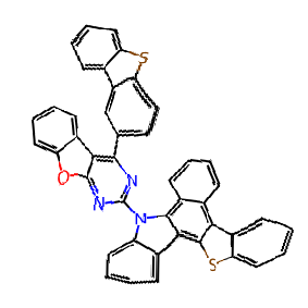 c1ccc2c(c1)oc1nc(-n3c4ccccc4c4c5sc6ccccc6c5c5ccccc5c43)nc(-c3ccc4sc5ccccc5c4c3)c12